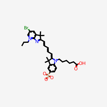 CCC[n+]1cc(Br)cc2c1N=C(/C=C/C=C/C=C1/N(CCCCCC(=O)O)c3ccc(S(=O)(=O)[O-])cc3C1(C)C)C2(C)C